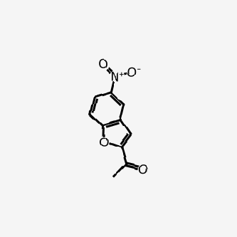 CC(=O)c1cc2cc([N+](=O)[O-])ccc2o1